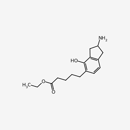 CCOC(=O)CCCCc1ccc2c(c1O)CC(N)C2